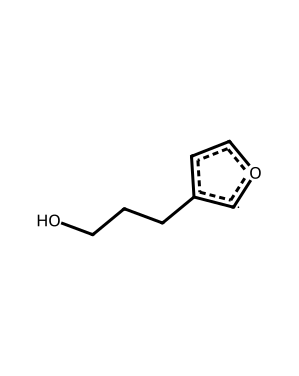 OCCCc1[c]occ1